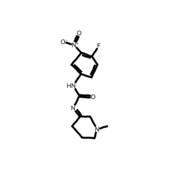 CN1CCCC(=NC(=O)Nc2ccc(F)c([N+](=O)[O-])c2)C1